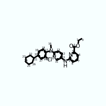 CCOC(=O)c1cccc(Nc2ccc(N(C)c3ccc(C4CCCCC4)cc3Cl)nc2)n1